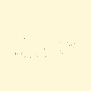 CCC(=C/OC)/C=C(\NC)NC(=O)c1cnc(N)nc1